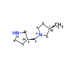 C[C@@H]1CCN(C[C@H]2CCNC2)C1